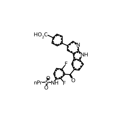 CCCS(=O)(=O)Nc1ccc(F)c(C(=O)c2ccc3[nH]c4ncc(-c5ccc(C(=O)O)cc5)cc4c3c2)c1F